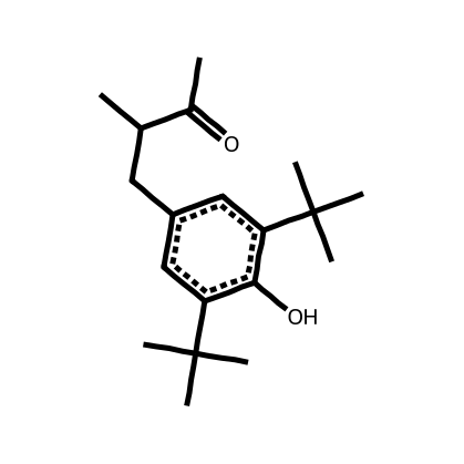 CC(=O)C(C)Cc1cc(C(C)(C)C)c(O)c(C(C)(C)C)c1